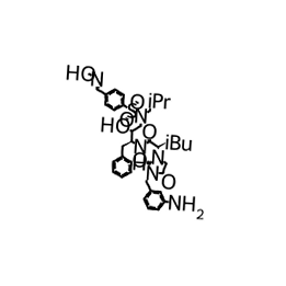 CC[C@H](C)[C@@H](C(=O)N[C@@H](Cc1ccccc1)[C@@H](O)CN(CC(C)C)S(=O)(=O)c1ccc(C=NO)cc1)N1CC(=O)N(Cc2cccc(N)c2)C1=O